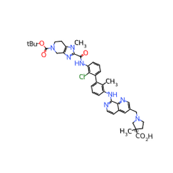 Cc1c(Nc2nccc3cc(CN4CC[C@@](C)(C(=O)O)C4)cnc23)cccc1-c1cccc(NC(=O)c2nc3c(n2C)CCN(C(=O)OC(C)(C)C)C3)c1Cl